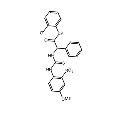 COc1ccc(NC(=S)NC(C(=O)Nc2ccccc2Cl)c2ccccc2)c([N+](=O)[O-])c1